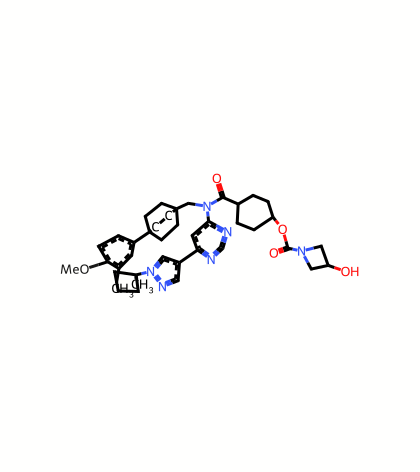 COc1ccc(C23CCC(CN(C(=O)C4CCC(OC(=O)N5CC(O)C5)CC4)c4cc(-c5cnn(C6(C)CCC6)c5)ncn4)(CC2)CC3)cc1C